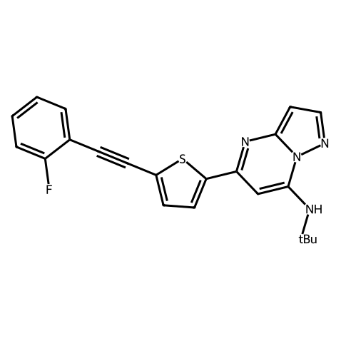 CC(C)(C)Nc1cc(-c2ccc(C#Cc3ccccc3F)s2)nc2ccnn12